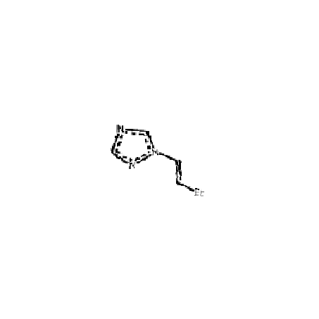 CCC=Cn1cncn1